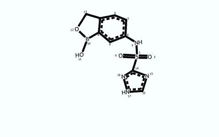 O=S(=O)(Nc1ccc2c(c1)B(O)OC2)c1nc[nH]n1